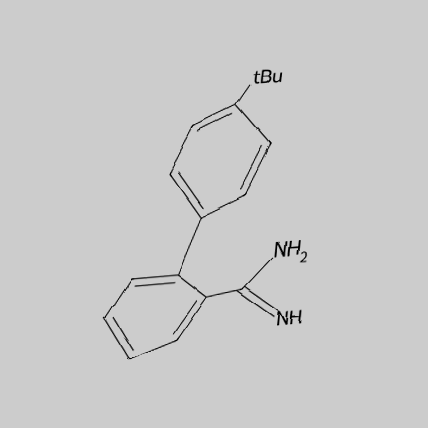 CC(C)(C)c1ccc(-c2ccccc2C(=N)N)cc1